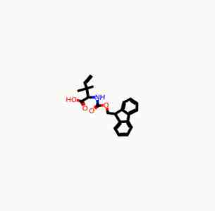 C=CC(C)(C)C(NC(=O)OCC1c2ccccc2-c2ccccc21)C(=O)O